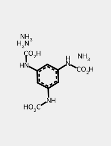 N.N.N.O=C(O)Nc1cc(NC(=O)O)cc(NC(=O)O)c1